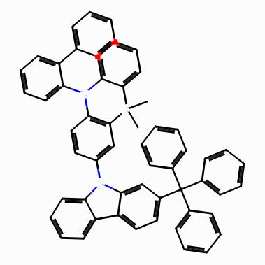 C[Si]1(C)c2ccccc2N(c2ccccc2-c2ccccc2)c2ccc(-n3c4ccccc4c4ccc(C(c5ccccc5)(c5ccccc5)c5ccccc5)cc43)cc21